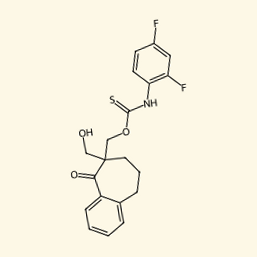 O=C1c2ccccc2CCCC1(CO)COC(=S)Nc1ccc(F)cc1F